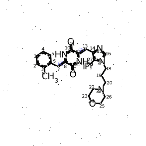 Cc1ccccc1/C=c1\[nH]c(=O)/c(=C/c2ncn(CCCN3CCOCC3)c2C(C)C)[nH]c1=O